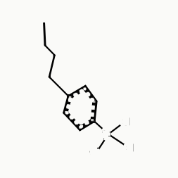 CCCCc1ccc([Si](Cl)(Cl)Cl)cc1